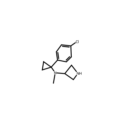 CN(C1CNC1)C1(c2ccc(Cl)cc2)CC1